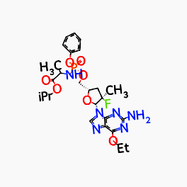 CCOc1nc(N)nc2c1ncn2[C@@H]1O[C@H](COP(=O)(NC(C)C(=O)OC(C)C)Oc2ccccc2)C[C@@]1(C)F